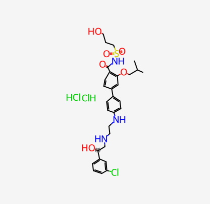 CC(C)COc1cc(-c2ccc(NCCNC[C@H](O)c3cccc(Cl)c3)cc2)ccc1C(=O)NS(=O)(=O)CCCO.Cl.Cl